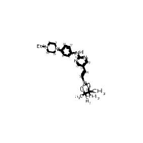 CCN1CCN(c2ccc(Nc3ncc(C=CB4OC(C)(C)C(C)(C)O4)cn3)cc2)CC1